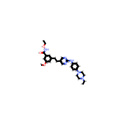 CCONC(=O)c1cc(CCc2cnc(Nc3ccc(N4CCN(CC)CC4)cc3)nc2)cc(OC)c1